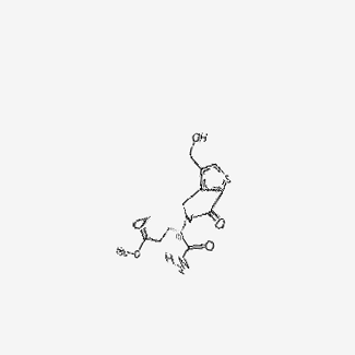 CC(C)(C)OC(=O)CC[C@@H](C(N)=O)N1Cc2c(CO)csc2C1=O